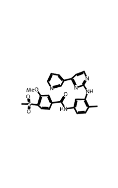 COc1cc(C(=O)Nc2ccc(C)c(Nc3nccc(-c4cccnc4)n3)c2)ccc1S(C)(=O)=O